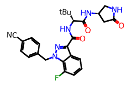 CC(C)(C)[C@H](NC(=O)c1nn(Cc2ccc(C#N)cc2)c2c(F)cccc12)C(=O)N[C@H]1CNC(=O)C1